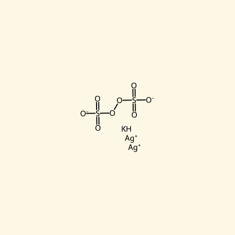 O=S(=O)([O-])OOS(=O)(=O)[O-].[Ag+].[Ag+].[KH]